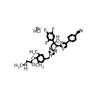 CNCC(=O)Oc1c(C)cc(C[n+]2cnn(C[C@](O)(c3cc(F)c(F)cc3F)[C@@H](C)c3nc(-c4ccc(C#N)cc4)cs3)c2)cc1C.Cl.[Br-]